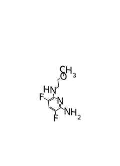 COCCNc1nc(N)c(F)cc1F